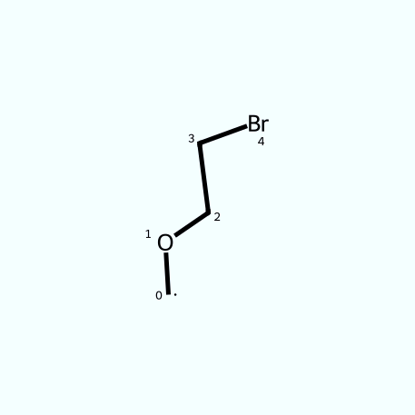 [CH2]OCCBr